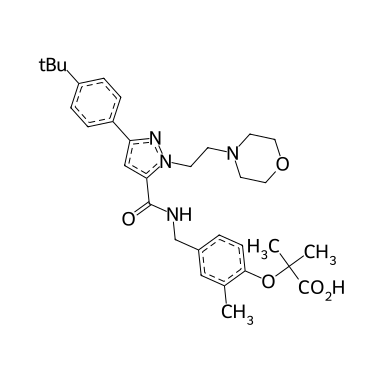 Cc1cc(CNC(=O)c2cc(-c3ccc(C(C)(C)C)cc3)nn2CCN2CCOCC2)ccc1OC(C)(C)C(=O)O